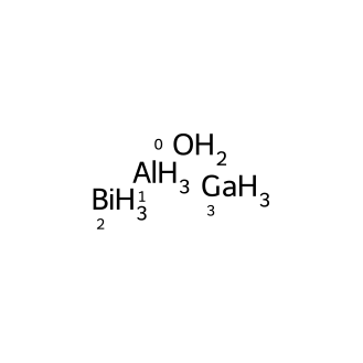 O.[AlH3].[BiH3].[GaH3]